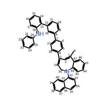 C/C1=C\C(c2ccc(-c3cccc(-c4ccccc4Nc4ccccc4)c3)cc2)=C/CN(c2cccc3ccccc23)c2ccccc21